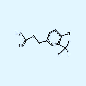 N=C(N)SCc1ccc(Cl)c(C(F)(F)F)c1